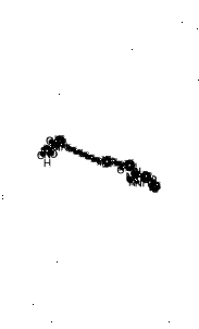 Nc1ncnc2c1c(-c1ccc(Oc3ccccc3)cc1)nn2[C@@H]1CCCN(C(=O)CCCN2CCN(CCCCCCCCCCCCNc3cccc4c3CN(C3CCC(=O)NC3=O)C4=O)CC2)C1